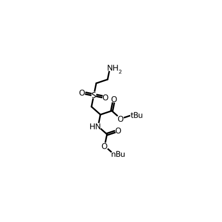 CCCCOC(=O)NC(CS(=O)(=O)CCN)C(=O)OC(C)(C)C